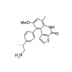 COc1cc(C)c2[nH]c(=O)c3sccc3c2c1-c1ccc([C@@H](C)CN)cc1